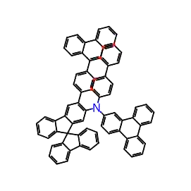 c1ccc(-c2ccc(N(c3ccc4c5ccccc5c5ccccc5c4c3)c3cc4c(cc3-c3ccc(-c5cc6ccccc6c6ccccc56)cc3)-c3ccccc3C43c4ccccc4-c4ccccc43)cc2)cc1